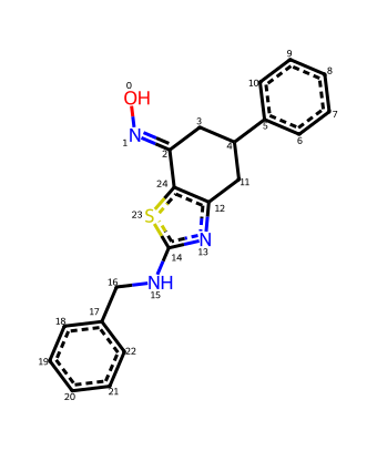 ON=C1CC(c2ccccc2)Cc2nc(NCc3ccccc3)sc21